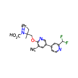 CC(C)CC(C)(COc1ncc(-c2ccnc(C(F)F)c2)cc1C#N)NC(=O)O